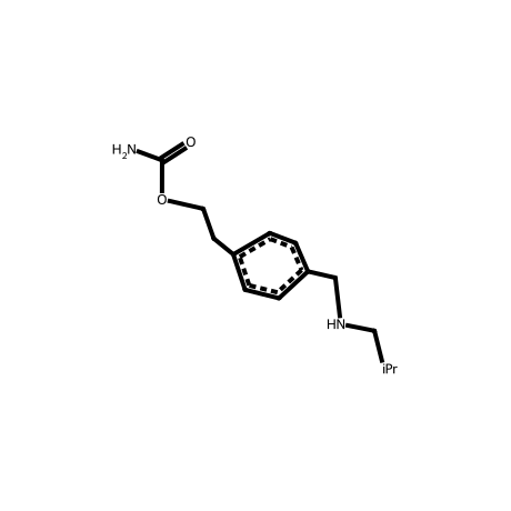 CC(C)CNCc1ccc(CCOC(N)=O)cc1